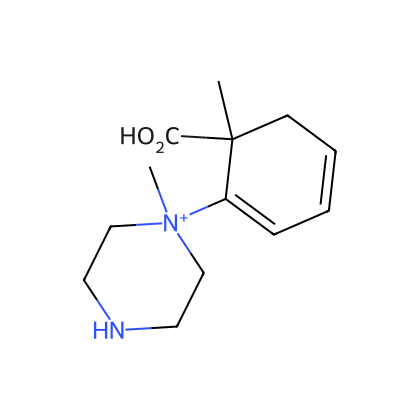 CC1(C(=O)O)CC=CC=C1[N+]1(C)CCNCC1